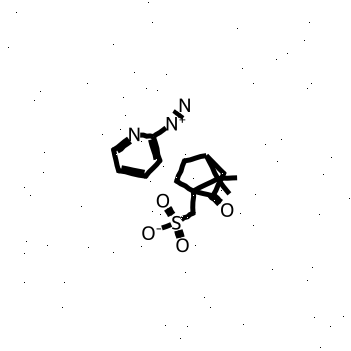 CC1(C)C2CCC1(CS(=O)(=O)[O-])C(=O)C2.N#[N+]c1ccccn1